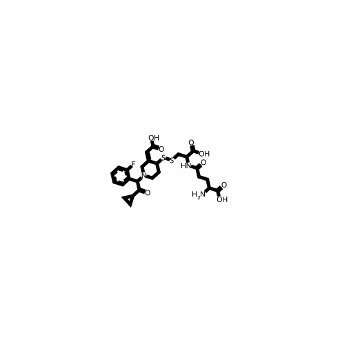 NC(CCC(=O)NC(CSSC1CCN(C(C(=O)C2CC2)c2ccccc2F)C/C1=C/C(=O)O)C(=O)O)C(=O)O